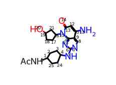 CC(=O)NC1CCC(Nc2ncc3c(N)cc(=O)n(C4CCC(O)C4)c3n2)CC1